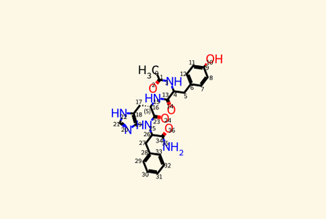 CC(=O)NC(Cc1ccc(O)cc1)C(=O)N[C@@H](Cc1cnc[nH]1)C(=O)NC(Cc1ccccc1)C(N)=O